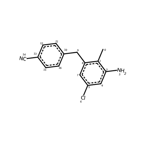 Cc1c(N)cc(Cl)cc1Cc1ccc(C#N)cc1